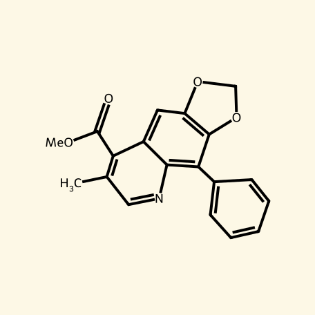 COC(=O)c1c(C)cnc2c(-c3ccccc3)c3c(cc12)OCO3